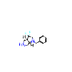 FC1(F)CN(Cc2ccccc2)[C@H]2CNC[C@H]21